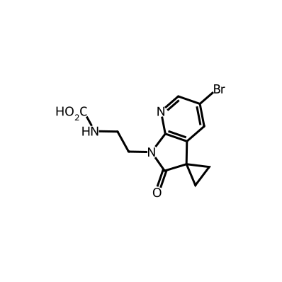 O=C(O)NCCN1C(=O)C2(CC2)c2cc(Br)cnc21